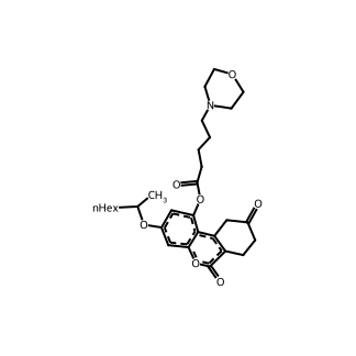 CCCCCCC(C)Oc1cc(OC(=O)CCCCN2CCOCC2)c2c3c(c(=O)oc2c1)CCC(=O)C3